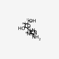 CC1C(O)[C@H](n2cnc3c(N)ncnc32)O[C@@H]1CO